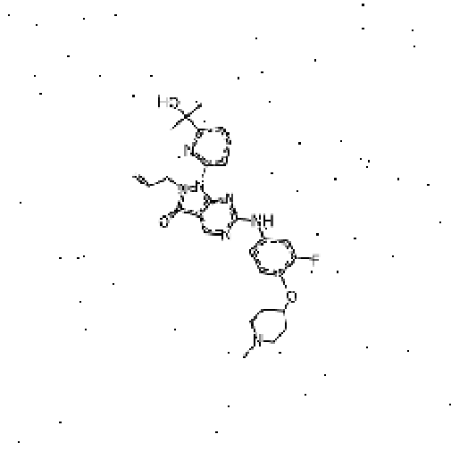 C=CCn1c(=O)c2cnc(Nc3ccc(OC4CCN(C)CC4)c(F)c3)nc2n1-c1cccc(C(C)(C)O)n1